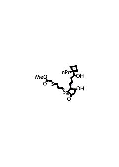 CCCC1(C(O)C/C=C/[C@H]2[C@H](O)CC(=O)[C@@H]2SCCCSCC(=O)OC)CCC1